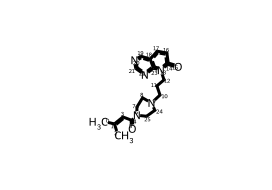 CC(C)=CC(=O)N1CCN(CCCn2c(=O)ccc3cncnc32)CC1